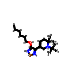 [2H]C([2H])([2H])N1CC(c2nsnc2OCCCCCC)=CCC1([2H])[2H]